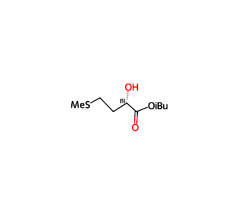 CSCC[C@H](O)C(=O)OCC(C)C